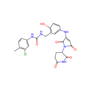 Cc1ccc(NC(=O)NCc2cc(NC3=CC(=O)N(C4CCC(=O)NC4=O)C3=O)ccc2O)cc1Cl